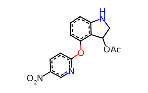 CC(=O)OC1CNc2cccc(Oc3ccc([N+](=O)[O-])cn3)c21